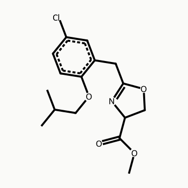 COC(=O)C1COC(Cc2cc(Cl)ccc2OCC(C)C)=N1